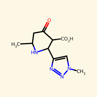 CC1CC(=O)C(C(=O)O)C(c2cn(C)nn2)N1